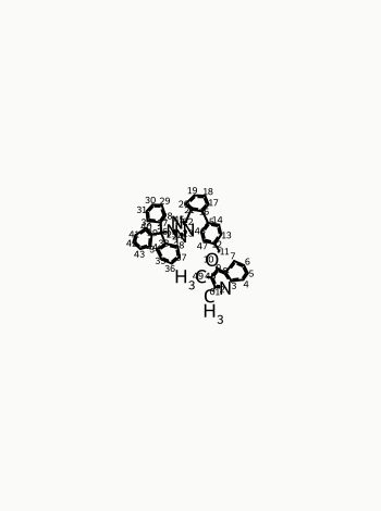 Cc1nc2ccccc2c(OCc2ccc(-c3ccccc3-c3nnn(C(c4ccccc4)(c4ccccc4)c4ccccc4)n3)cc2)c1C